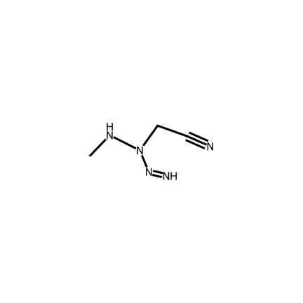 CNN(CC#N)N=N